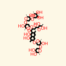 CO[C@H](C(=O)[C@@H](O)[C@@H](C)O)[C@@H]1Cc2cc3cc(O[C@H]4C[C@@H](O[C@H]5C[C@@H](O)[C@H](O)[C@@H](C)O5)[C@H](O)[C@@H](C)O4)c(C)c(O)c3c(O)c2C(=O)[C@H]1O[C@H]1C[C@@H](OC2C[C@@H](O[C@H]3C[C@](C)(O)[C@H](O)[C@@H](C)O3)[C@H](O)[C@@H](C)O2)[C@H](O)[C@@H](C)O1